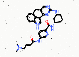 CN(C)C/C=C/C(=O)Nc1ccc(C(=O)N[C@H]2CCC[C@@H](Nc3ncc4c(n3)-c3c[nH]c5cccc(c35)C4)C2)nc1